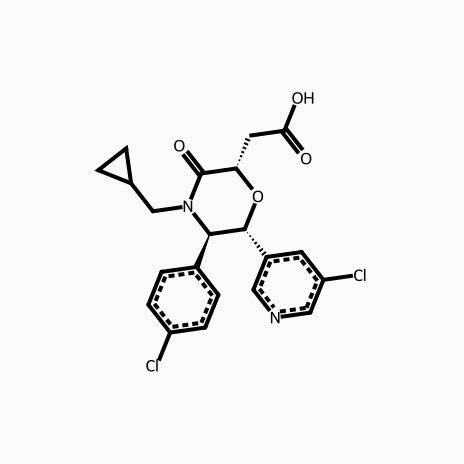 O=C(O)C[C@@H]1O[C@H](c2cncc(Cl)c2)[C@@H](c2ccc(Cl)cc2)N(CC2CC2)C1=O